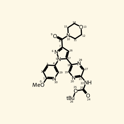 COc1ccc(-n2nc(C(=O)N3CCOCC3)cc2-c2cnc(NC(=O)OC(C)(C)C)cn2)cn1